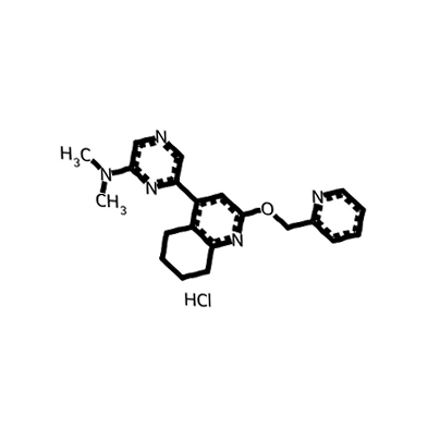 CN(C)c1cncc(-c2cc(OCc3ccccn3)nc3c2CCCC3)n1.Cl